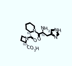 N[C@@H](Cc1c[nH]cn1)C(=O)N1CCCC[C@H]1C(=O)N1CC[C@H]1C(=O)O